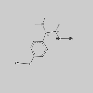 CC(C)N[C@@H](C)[C@H](c1ccc(OC(C)C)cc1)N(C)C